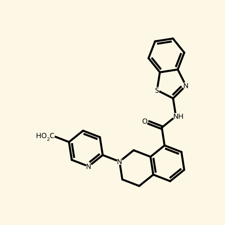 O=C(O)c1ccc(N2CCc3cccc(C(=O)Nc4nc5ccccc5s4)c3C2)nc1